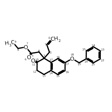 C=CCC1(CC(=O)OCC)C(=O)CCc2ccc(OCc3ccccc3)cc21